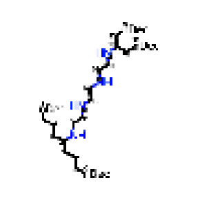 CCCCCCCCCCCCCC(CCCCCCCCCCCCC)NCCNCCNCCNC(CCCCCCCCCCC)CCCCCCCCCCC